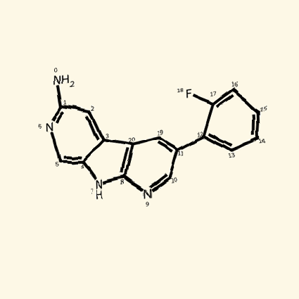 Nc1cc2c(cn1)[nH]c1ncc(-c3ccccc3F)cc12